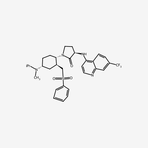 CC(C)N(C)[C@@H]1CC[C@H](N2CC[C@@H](Nc3ccnc4cc(C(F)(F)F)ccc34)C2=O)[C@@H](CS(=O)(=O)c2ccccc2)C1